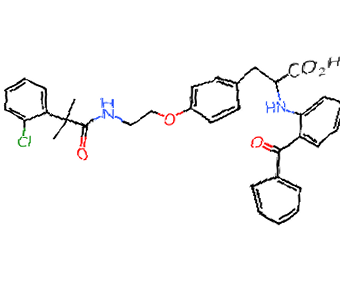 CC(C)(C(=O)NCCOc1ccc(CC(Nc2ccccc2C(=O)c2ccccc2)C(=O)O)cc1)c1ccccc1Cl